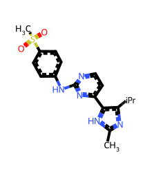 Cc1nc(C(C)C)c(-c2ccnc(Nc3ccc(S(C)(=O)=O)cc3)n2)[nH]1